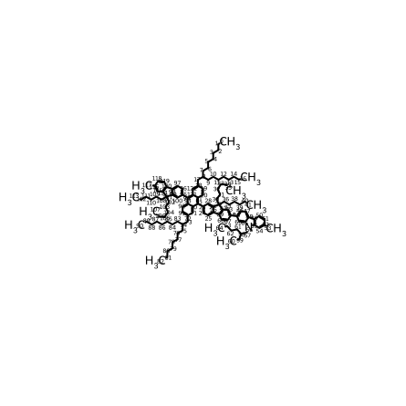 CCCCCCCCC(CCCCCCCC)Cc1ccc2c(-c3ccc4c(c3)C(CCCCCC)(CCCCCC)c3cc(-c5ccc6c7ccc(C)cc7n(CC(CC)CCCC)c6c5)ccc3-4)c3cc(CC(CCCCCCCC)CCCCCCCC)ccc3c(-c3ccc4c(c3)C(CCCCCC)(CCCCCC)c3cc(C)ccc3-4)c2c1